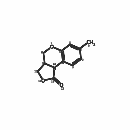 Cc1ccc2c(c1)OCC1COC(=O)N21